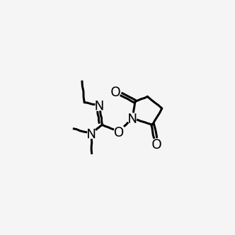 CC/N=C(/ON1C(=O)CCC1=O)N(C)C